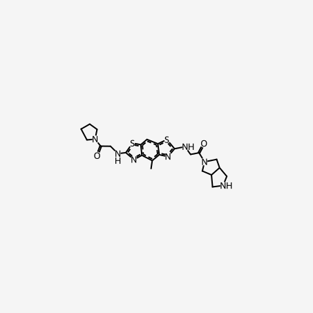 Cc1c2nc(NCC(=O)N3CCCC3)sc2cc2sc(NCC(=O)N3CC4CNCC4C3)nc12